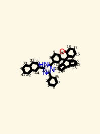 c1ccc(C2=NC(c3ccc4c(c3)C3(c5ccccc5O4)c4ccccc4-c4ccccc43)NC(c3ccc4ccccc4c3)=N2)cc1